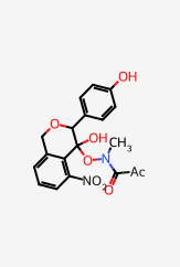 CC(=O)C(=O)N(C)OC1(O)c2c(cccc2[N+](=O)[O-])COC1c1ccc(O)cc1